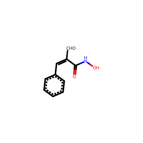 O=CC(=Cc1ccccc1)C(=O)NO